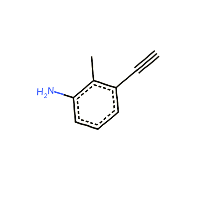 C#Cc1cccc(N)c1C